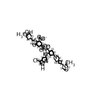 C[C@H]1COCCN1C1CC2(CCN(c3ccc(C(=O)NS(=O)(=O)c4cc5c(c([N+](=O)[O-])c4)S[C@@H]([C@H]4CC[C@](C)(O)CC4)CO5)c(Oc4cnc5[nH]cc(Cl)c5c4)c3)CC2)C1